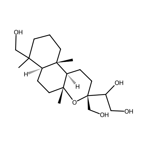 CC1(CO)CCC[C@]2(C)[C@H]3CC[C@](CO)(C(O)CO)O[C@]3(C)CC[C@@H]12